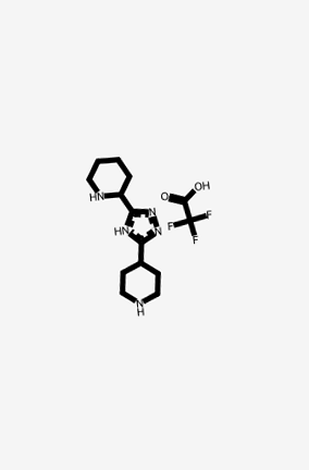 C1CCC(c2nnc(C3CCNCC3)[nH]2)NC1.O=C(O)C(F)(F)F